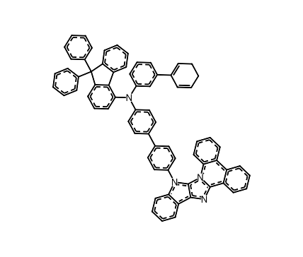 C1=CC(c2cccc(N(c3ccc(-c4ccc(-n5c6ccccc6c6nc7c8ccccc8c8ccccc8n7c65)cc4)cc3)c3cccc4c3-c3ccccc3C4(c3ccccc3)c3ccccc3)c2)=CCC1